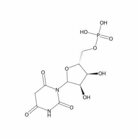 O=C1CC(=O)N(C2O[C@H](COP(=O)(O)O)[C@@H](O)[C@H]2O)C(=O)N1